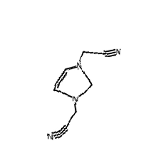 N#CCN1C=CN(CC#N)C1